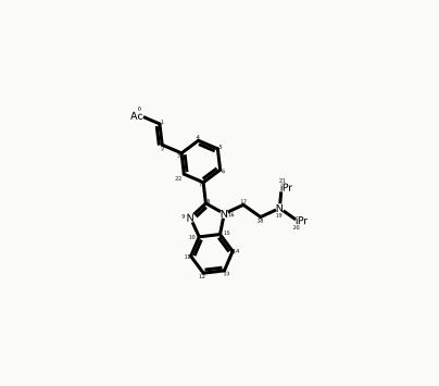 CC(=O)/C=C/c1cccc(-c2nc3ccccc3n2CCN(C(C)C)C(C)C)c1